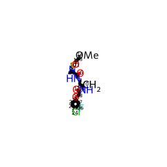 C=C(CCNC(=O)C1CN1SOCCOC)NC(=O)COc1ccc(Cl)c(F)c1